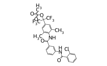 Cc1cc(C(OS(C)(=O)=O)(C(F)(F)F)C(F)(F)F)cc(C)c1NC(=O)c1cccc(NC(=O)c2ccccc2Cl)c1